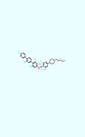 CCCCCC1CCC(c2cc(F)c(C(F)(F)Oc3cc(F)c(-c4ccc(-c5ccc(F)cc5)c(F)c4)c(F)c3)c(F)c2)CC1